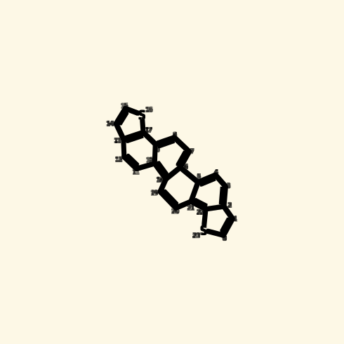 c1cc2ccc3c4ccc5c(ccc6ccsc65)c4ccc3c2s1